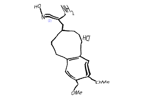 COc1cc2c(cc1OC)CCC(/C(N)=N/O)CC2.Cl